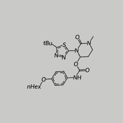 CCCCCCOc1ccc(NC(=O)OC2CCN(C)C(=O)N2c2nnc(C(C)(C)C)s2)cc1